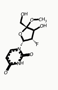 CO[C@@]1(CO)O[C@@H](n2ccc(=O)[nH]c2=O)[C@@H](F)C1O